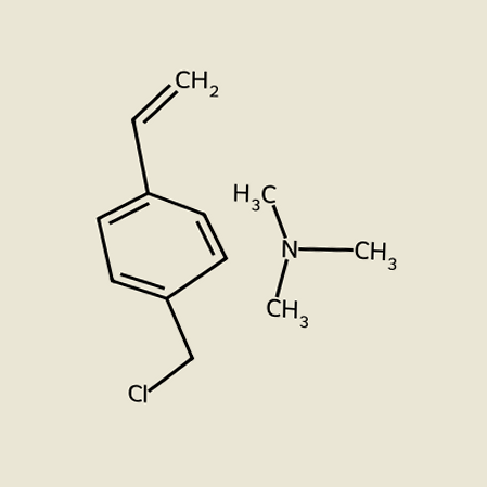 C=Cc1ccc(CCl)cc1.CN(C)C